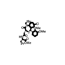 COC(=O)[C@H](CC(C)C)NC(=O)C[C@H]1S[C@H](c2cccc(OC)c2OC)c2cc(Cl)ccc2N(CC(C)(C)C)C1=O